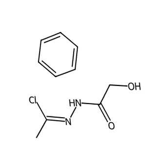 CC(Cl)=NNC(=O)CO.c1ccccc1